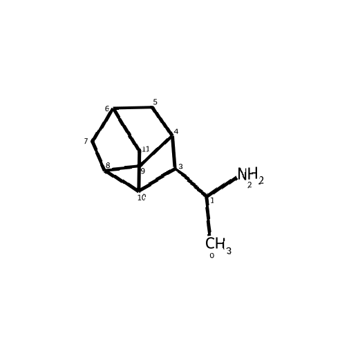 CC(N)C1C2CC3CC(C2)C1C3